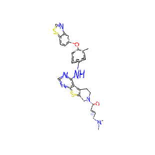 Cc1cc(Nc2ncnc3sc4c(c23)CCN(C(=O)/C=C/CN(C)C)C4)ccc1Oc1ccc2scnc2c1